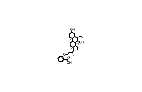 CC[C@@H]1C2C[C@H](O)CC[C@]2(C)C2CC[C@@]3(C)C(CC[C@@H]3[C@H](C)CCOc3ccccc3C(=O)O)[C@@H]2[C@@H]1O